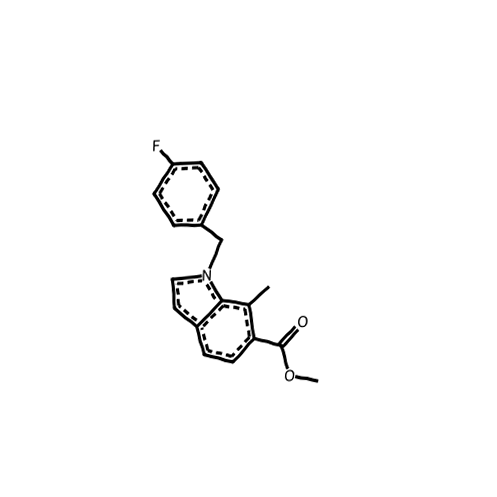 COC(=O)c1ccc2ccn(Cc3ccc(F)cc3)c2c1C